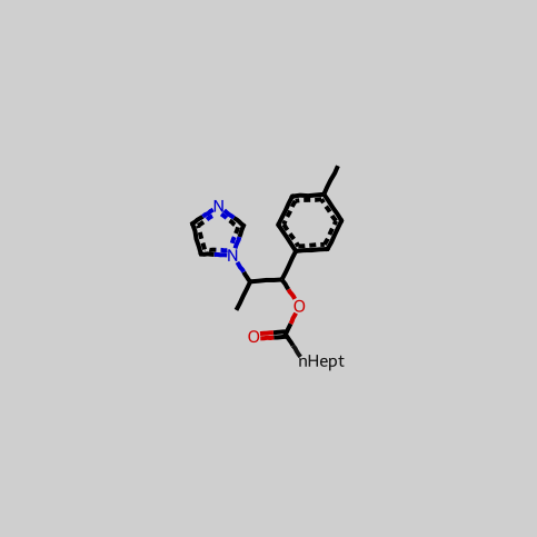 CCCCCCCC(=O)OC(c1ccc(C)cc1)C(C)n1ccnc1